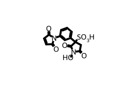 O=C1CC(c2cccc(N3C(=O)C=CC3=O)c2)(S(=O)(=O)O)C(=O)N1O